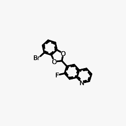 Fc1cc2ncccc2cc1C1Oc2cccc(Br)c2O1